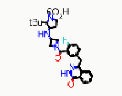 CC(C)(C)C1C(NC2CN(C(=O)c3cc(Cc4n[nH]c(=O)c5ccccc45)ccc3F)C2)CCN1C(=O)O